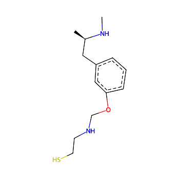 CN[C@H](C)Cc1cccc(OCNCCS)c1